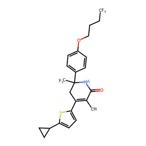 N#CC1=C(c2ccc(C3CC3)s2)CC(c2ccc(OCCCC(F)(F)F)cc2)(C(F)(F)F)NC1=O